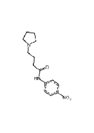 O=C(CCCN1CCCC1)Nc1ccc([N+](=O)[O-])cc1